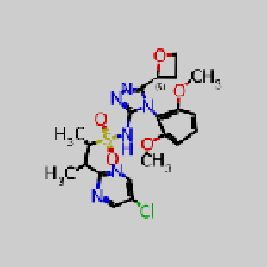 COc1cccc(OC)c1-n1c(NS(=O)(=O)C(C)C(C)c2ncc(Cl)cn2)nnc1[C@@H]1CCO1